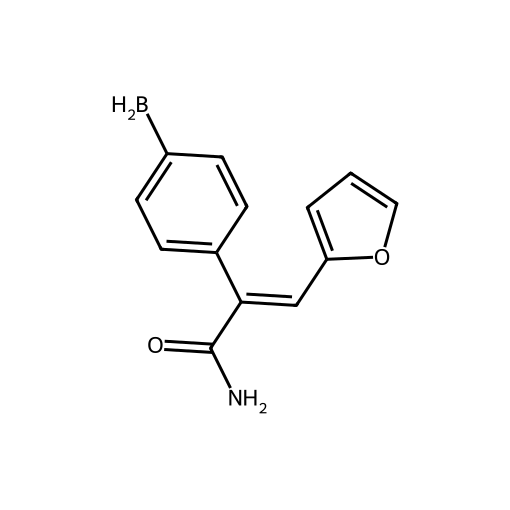 Bc1ccc(/C(=C\c2ccco2)C(N)=O)cc1